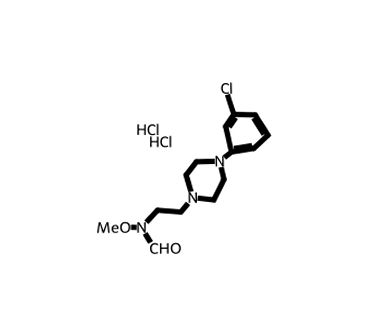 CON(C=O)CCN1CCN(c2cccc(Cl)c2)CC1.Cl.Cl